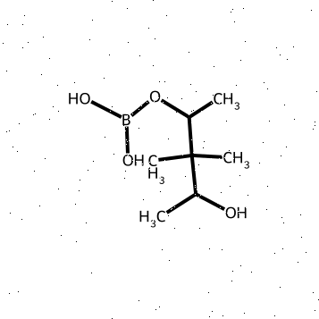 CC(O)C(C)(C)C(C)OB(O)O